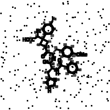 CCC(C(=O)O)C1(c2ccc(F)cc2)CN(C(=O)[C@H](Cc2ccc(OC)cc2)NC(=O)[C@H](Cc2c[nH]cn2)NC(=O)c2ccccc2)C1